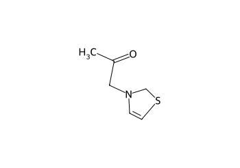 CC(=O)CN1C=CSC1